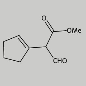 COC(=O)C(C=O)C1=CCCC1